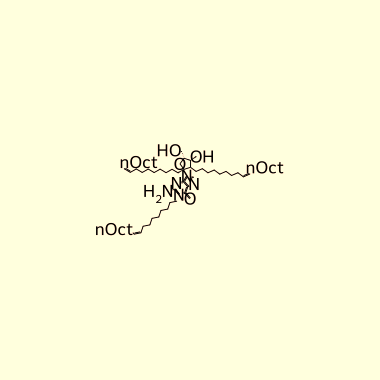 CCCCCCCC/C=C\CCCCCCCCC1[C@H](O)[C@@H](CO)O[C@@]1(CCCCCCCC/C=C\CCCCCCCC)n1cnc2c(=O)n(CCCCCCCC/C=C\CCCCCCCC)c(N)nc21